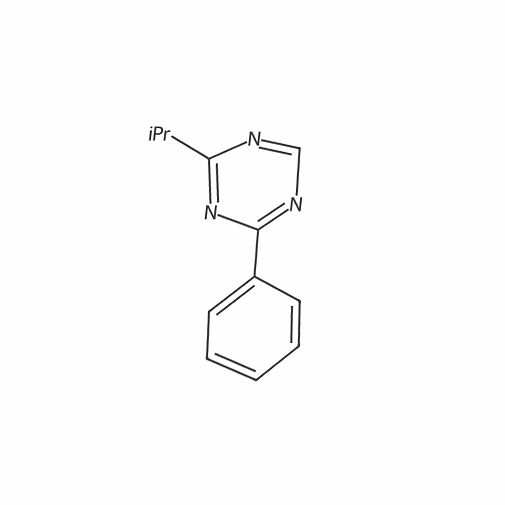 CC(C)c1ncnc(-c2ccccc2)n1